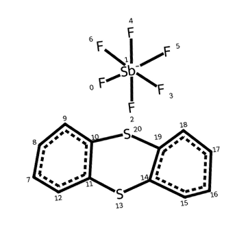 [F][Sb-]([F])([F])([F])([F])[F].c1ccc2c(c1)Sc1ccccc1S2